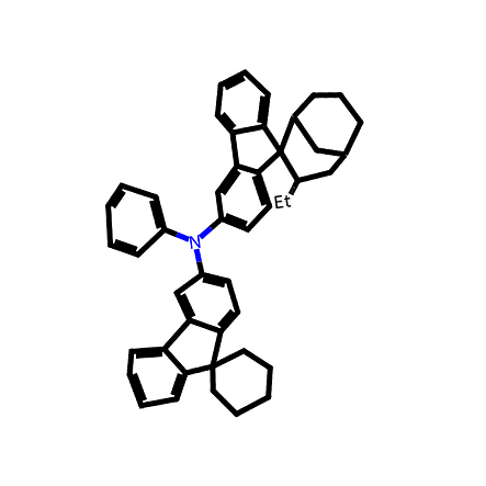 CCC1CC2CCCC(C2)C12c1ccccc1-c1cc(N(c3ccccc3)c3ccc4c(c3)-c3ccccc3C43CCCCC3)ccc12